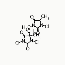 CC1(C)C(=O)N(Cl)C(=O)N1Cl.CC1C(=O)N(C)C(=O)N1Cl